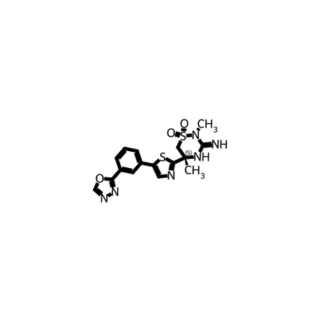 CN1C(=N)N[C@](C)(c2ncc(-c3cccc(-c4nnco4)c3)s2)CS1(=O)=O